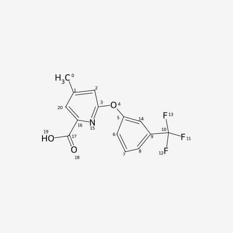 Cc1cc(Oc2cccc(C(F)(F)F)c2)nc(C(=O)O)c1